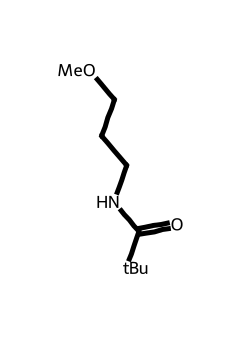 COCCCNC(=O)C(C)(C)C